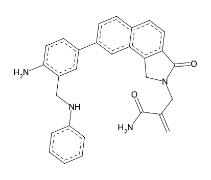 C=C(CN1Cc2c(ccc3ccc(-c4ccc(N)c(CNc5ccccc5)c4)cc23)C1=O)C(N)=O